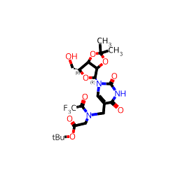 CC(C)(C)OC(=O)CN(Cc1cn([C@@H]2O[C@H](CO)C3OC(C)(C)OC32)c(=O)[nH]c1=O)C(=O)C(F)(F)F